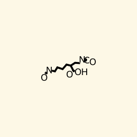 O=C=NCCCCC(CCN=C=O)C(=O)O